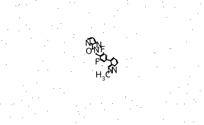 Cn1cc2c(-c3cc(F)c(Cn4cnc5cccnc5c4=O)c(F)c3)cccc2n1